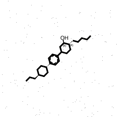 CCCCC[C@@H]1CCC(c2ccc([C@H]3CC[C@H](CCC)CC3)cc2)C[C@H]1O